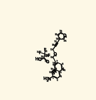 NC1=CC=C2N=CC=CC23C1=NCN3CCOCC#Cc1ccoc1.O=C(O)C(F)(F)F